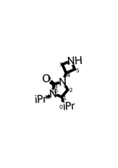 CC(C)C1CN(C2CNC2)C(=O)N1C(C)C